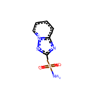 NS(=O)(=O)c1nc2ccccn2n1